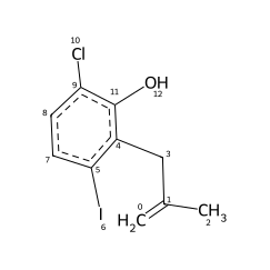 C=C(C)Cc1c(I)ccc(Cl)c1O